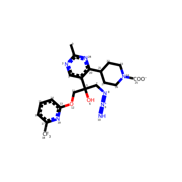 Cc1ncc(C(O)(CN=[N+]=N)COc2cccc(C(F)(F)F)n2)c(C2CCN(C(=O)[O-])CC2)n1